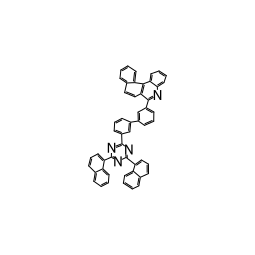 c1cc(-c2cccc(-c3nc4ccccc4c4c3ccc3ccccc34)c2)cc(-c2nc(-c3cccc4ccccc34)nc(-c3cccc4ccccc34)n2)c1